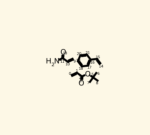 C=CC(=O)OC(C)(C)C.C=CC(N)=O.C=Cc1ccccc1